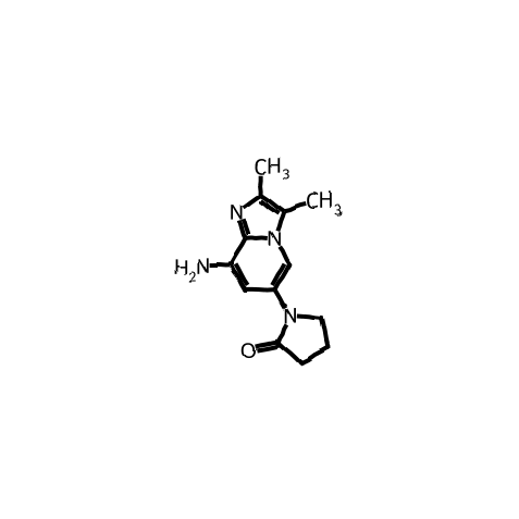 Cc1nc2c(N)cc(N3CCCC3=O)cn2c1C